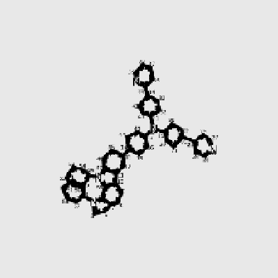 c1ccc(-n2ccc3ccc4c5cc(-c6ccc(N(c7ccc(-c8ccncc8)cc7)c7ccc(-c8ccccn8)cc7)cc6)ccc5n(-c5ccccc5)c4c32)cc1